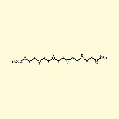 CCCCCCCCOCCOCCOCCOCCOCCOCCCC